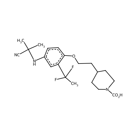 CC(C)(C#N)Nc1ccc(OCCC2CCN(C(=O)O)CC2)c(C(C)(F)F)c1